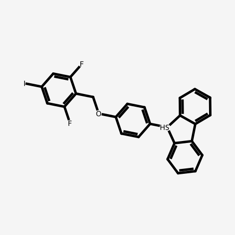 Fc1cc(I)cc(F)c1COc1ccc([SH]2c3ccccc3-c3ccccc32)cc1